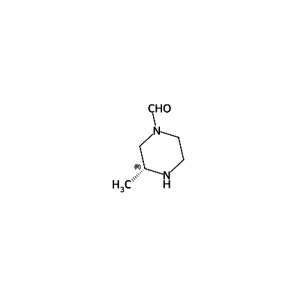 C[C@@H]1CN(C=O)CCN1